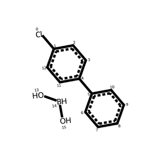 Clc1ccc(-c2ccccc2)cc1.OBO